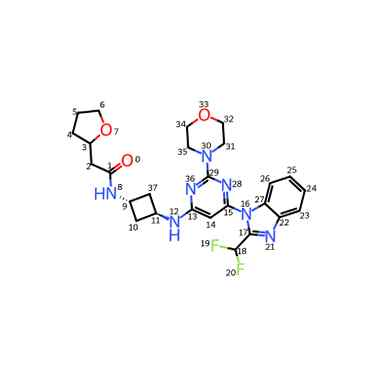 O=C(CC1CCCO1)N[C@H]1C[C@H](Nc2cc(-n3c(C(F)F)nc4ccccc43)nc(N3CCOCC3)n2)C1